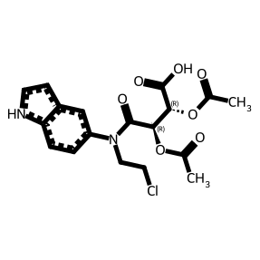 CC(=O)O[C@@H](C(=O)O)[C@@H](OC(C)=O)C(=O)N(CCCl)c1ccc2[nH]ccc2c1